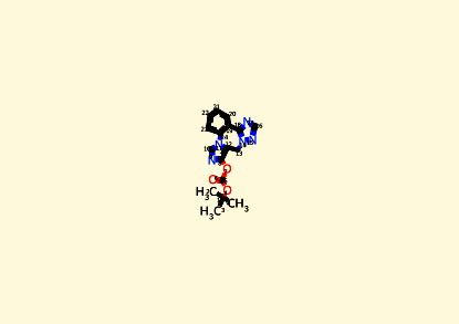 CC(C)(C)OC(=O)Oc1ncn2c1Cn1ncnc1-c1ccccc1-2